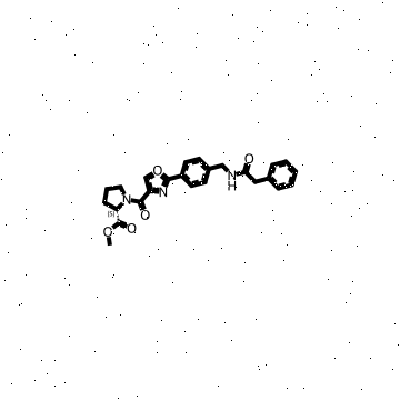 COC(=O)[C@@H]1CCCN1C(=O)c1coc(-c2ccc(CNC(=O)Cc3ccccc3)cc2)n1